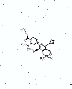 COCCC(=O)N1CCN(c2nc(C3=CC=C3)c3c(c2C#N)CC(C)(C)OC3)CC1C(C)C